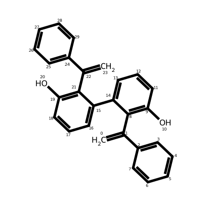 C=C(c1ccccc1)c1c(O)cccc1-c1cccc(O)c1C(=C)c1ccccc1